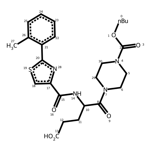 CCCCOC(=O)N1CCN(C(=O)C(CCC(=O)O)NC(=O)c2csc(-c3ccccc3C)n2)CC1